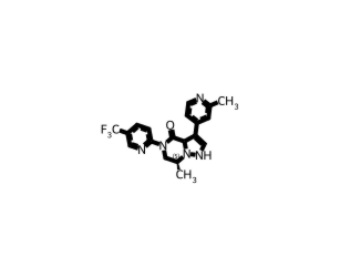 Cc1cc(C2=CNN3C2C(=O)N(c2ccc(C(F)(F)F)cn2)C[C@@H]3C)ccn1